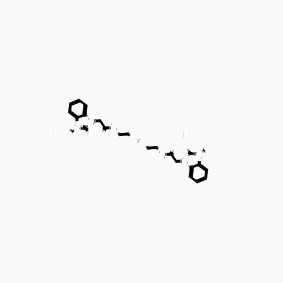 Cc1n(CC(=O)NCCSSCCNC(=O)CN2c3ccccc3N(C)C2C)c2ccccc2[n+]1C